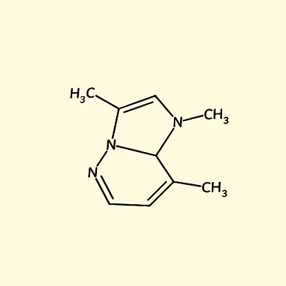 CC1=CC=NN2C(C)=CN(C)C12